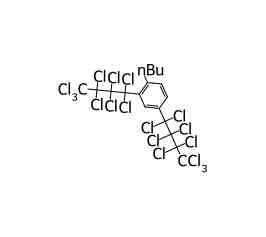 [CH2]CCCc1ccc(C(Cl)(Cl)C(Cl)(Cl)C(Cl)(Cl)C(Cl)(Cl)Cl)cc1C(Cl)(Cl)C(Cl)(Cl)C(Cl)(Cl)C(Cl)(Cl)Cl